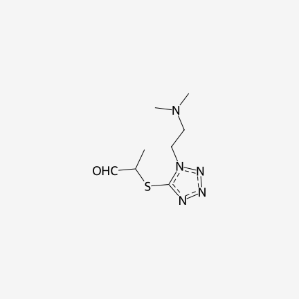 CC(C=O)Sc1nnnn1CCN(C)C